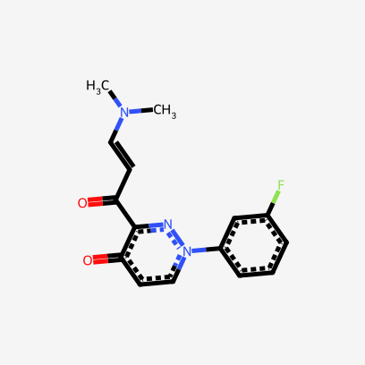 CN(C)C=CC(=O)c1nn(-c2cccc(F)c2)ccc1=O